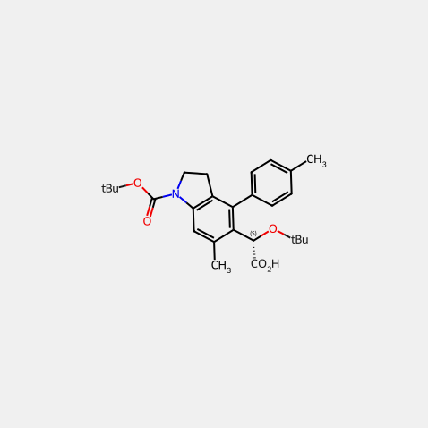 Cc1ccc(-c2c3c(cc(C)c2[C@H](OC(C)(C)C)C(=O)O)N(C(=O)OC(C)(C)C)CC3)cc1